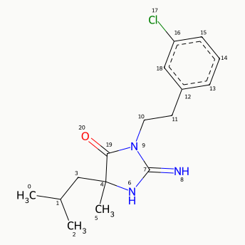 CC(C)CC1(C)NC(=N)N(CCc2cccc(Cl)c2)C1=O